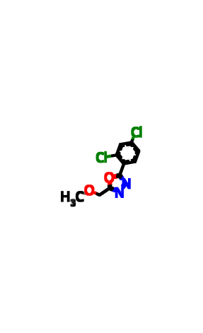 COCc1nnc(-c2ccc(Cl)cc2Cl)o1